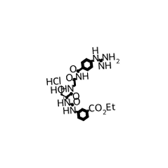 CCOC(=O)c1cccc(NC(=O)N[C@@H](CO)C(=O)NCC(=O)NC(=O)c2ccc(NC(=N)N)cc2)c1.Cl